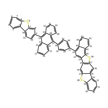 c1ccc2c(c1)sc1cc(-c3c4ccccc4c(-c4ccc(-c5cc6c7cc8sc9ccccc9c8cc7sc6c6ccccc56)cc4)c4ccccc34)ccc12